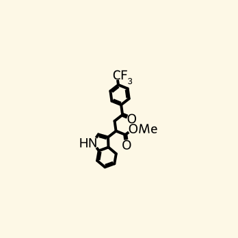 COC(=O)C(CC(=O)c1ccc(C(F)(F)F)cc1)C1=CNC2=CC=CCC21